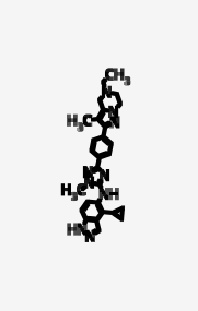 CCN1CCn2nc(-c3ccc(-c4nc(Nc5ccc6[nH]ncc6c5C5CC5)n(C)n4)cc3)c(C)c2C1